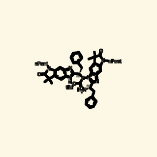 CCCCCN1C(=O)C(C)(C)c2cc3[nH]c([C@H](Cc4ccccc4)N(C(=O)OC(C)(C)C)n4c([C@@H](N)Cc5ccccc5)nc5cc6c(cc54)C(C)(C)C(=O)N6CCCCC)nc3cc21